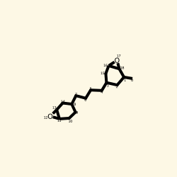 CC1CC(CCCCC2CCC3OC3C2)CC2OC12